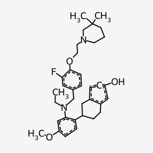 CCN(Cc1ccc(OCCN2CCCC(C)(C)C2)c(F)c1)c1cc(OC)ccc1C1CCc2cc(O)ccc2C1